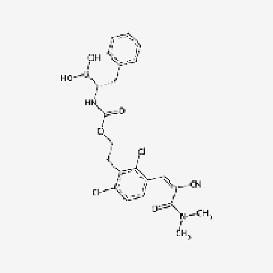 CN(C)C(=O)C(C#N)=Cc1ccc(Cl)c(CCOC(=O)N[C@@H](Cc2ccccc2)B(O)O)c1Cl